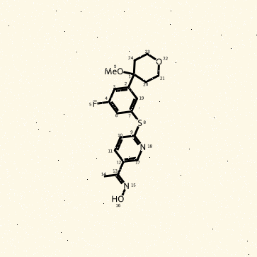 COC1(c2cc(F)cc(Sc3ccc(C(C)=NO)cn3)c2)CCOCC1